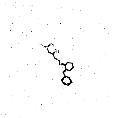 CC(C)N(CC(O)CON=C1CCCCC1=Cc1ccccc1)C(C)C